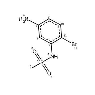 CS(=O)(=O)Nc1cc(N)ccc1Br